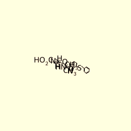 CC(C)(NC(=O)C1[C@H]2CN(C(=O)O)C[C@@H]12)c1ncc2c(SCc3ccccc3)cccn12